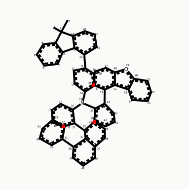 CC1(C)c2ccccc2-c2c(-c3ccc(N(c4ccccc4-c4cccc5cccc(-c6ccccc6)c45)c4ccccc4-c4cccc5oc6ccccc6c45)cc3)cccc21